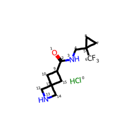 Cl.O=C(NCC1(C(F)(F)F)CC1)C1CC2(CNC2)C1